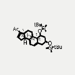 CC(=O)C1=CC[C@H]2C3=CC=C4CC(O[Si](C)(C)C(C)(C)C)CC(O[Si](C)(C)C(C)(C)C)[C@]4(C)[C@H]3CC[C@]12C